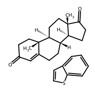 C[C@]12CCC(=O)C=C1CC[C@@H]1[C@@H]2CC[C@]2(C)C(=O)CC[C@@H]12.c1ccc2sccc2c1